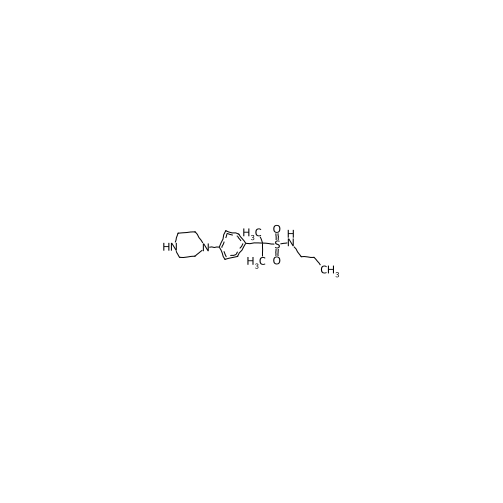 CCCNS(=O)(=O)C(C)(C)c1ccc(N2CCNCC2)cc1